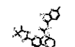 Cc1ccc2c(NC(=O)N3c4nc(C(=O)NC(C)C(F)(F)F)ccc4N4CCC[C@H]3C4)n[nH]c2n1